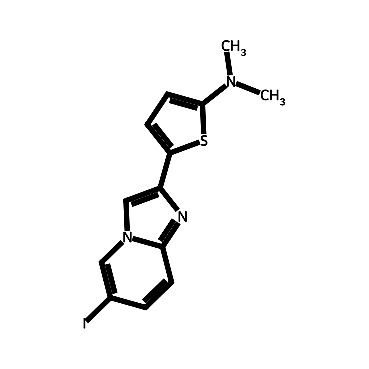 CN(C)c1ccc(-c2cn3cc(I)ccc3n2)s1